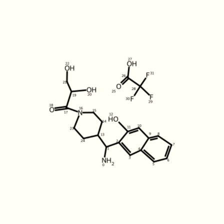 NC(c1cc2ccccc2cc1O)C1CCN(C(=O)C(O)CO)CC1.O=C(O)C(F)(F)F